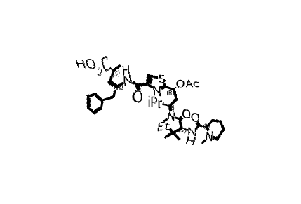 CCC(C)(C)[C@H](NC(=O)[C@H]1CCCCN1C)C(=O)N(C)[C@H](C[C@@H](OC(C)=O)c1nc(C(=O)N[C@@H](Cc2ccccc2)C[C@H](C)C(=O)O)cs1)C(C)C